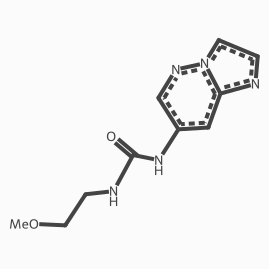 COCCNC(=O)Nc1cnn2ccnc2c1